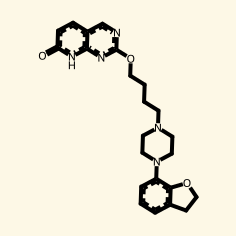 O=c1ccc2cnc(OCCCCN3CCN(c4cccc5c4OCC5)CC3)nc2[nH]1